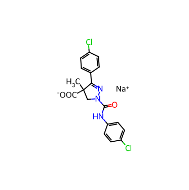 CC1(C(=O)[O-])CN(C(=O)Nc2ccc(Cl)cc2)N=C1c1ccc(Cl)cc1.[Na+]